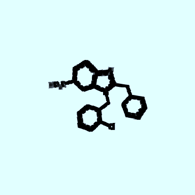 O=C(O)c1ccc2nc(Cc3ccccc3)n(Cc3ccccc3Cl)c2c1